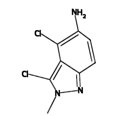 Cn1nc2ccc(N)c(Cl)c2c1Cl